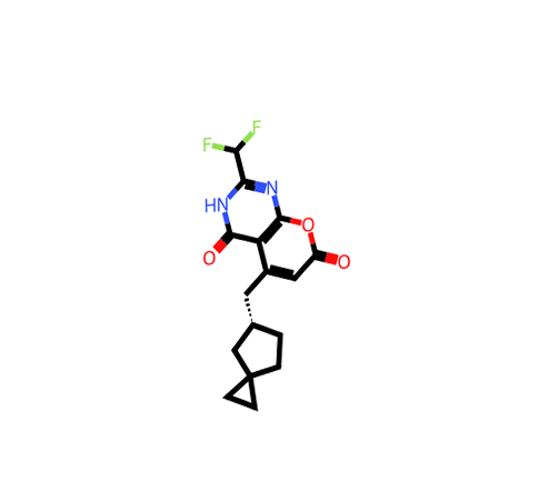 O=c1cc(C[C@@H]2CCC3(CC3)C2)c2c(=O)[nH]c(C(F)F)nc2o1